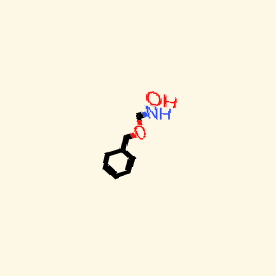 ONCOCC1C=CC=CC1